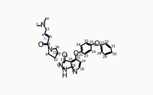 CN(C)C/C=C/C(=O)N1CC[C@@H](Oc2n[nH]c3nccc(Oc4ccc(Oc5ccccc5)cc4)c23)C1